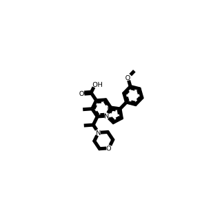 COc1cccc(-c2ccn3c(C(C)N4CCOCC4)c(C)c(C(=O)O)cc23)c1